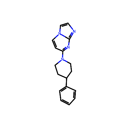 c1ccc(C2CCN(c3ccn4ccnc4n3)CC2)cc1